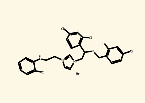 Clc1ccc(COC(Cn2cc[n+](CCNc3ccccc3Cl)c2)c2ccc(Cl)cc2Cl)c(Cl)c1.[Br-]